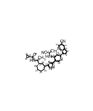 C[C@H](C#N)Nc1cc(-c2ccc3cc(C#N)cnn23)ncc1-c1nnc(C2CCCC[C@@H]([C@H](C)NC(=O)C3CC3)C2)s1